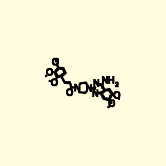 COc1cc2nc(N3CCN(C(=O)C=Cc4ccc(OC)c(OC)c4OC)CC3)nc(N)c2cc1OC